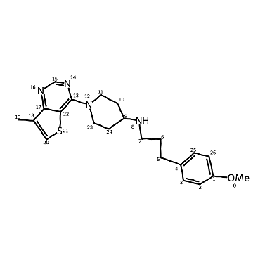 COc1ccc(CCCNC2CCN(c3ncnc4c(C)csc34)CC2)cc1